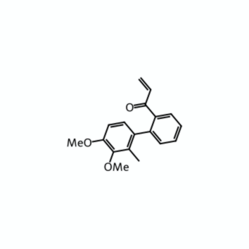 C=CC(=O)c1ccccc1-c1ccc(OC)c(OC)c1C